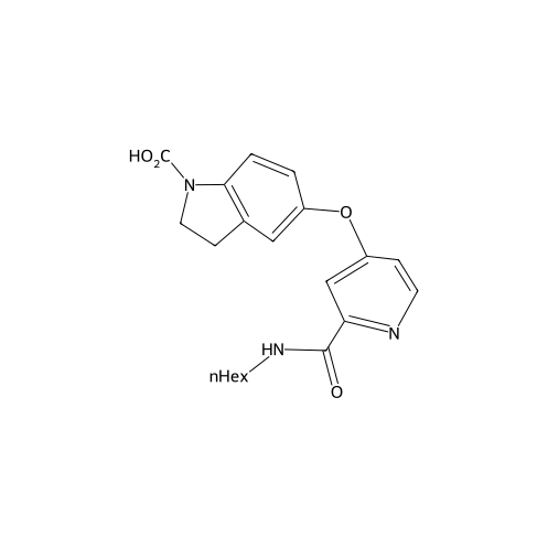 CCCCCCNC(=O)c1cc(Oc2ccc3c(c2)CCN3C(=O)O)ccn1